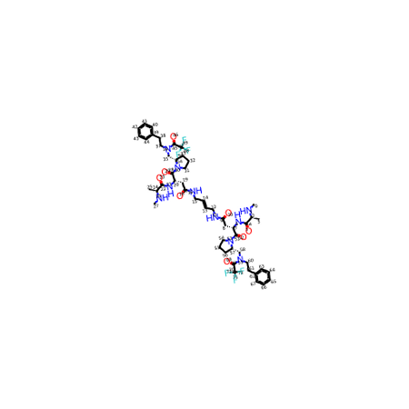 CN[C@@H](C)C(=O)N[C@@H](CC(=O)NC/C=C/CNC(=O)C[C@H](NC(=O)[C@H](C)NC)C(=O)N1CCC[C@H]1CN(CCc1ccccc1)C(=O)C(F)(F)F)C(=O)N1CCC[C@H]1CN(CCc1ccccc1)C(=O)C(F)(F)F